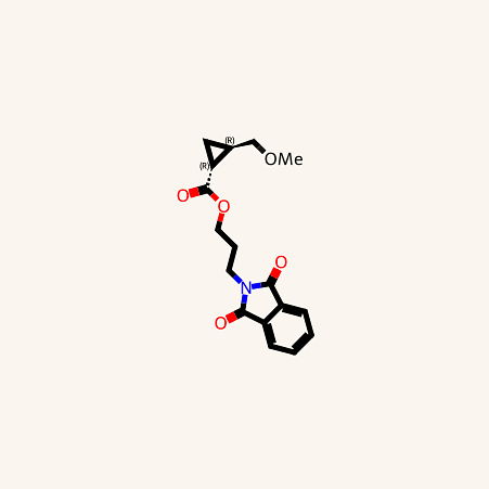 COC[C@@H]1C[C@H]1C(=O)OCCCN1C(=O)c2ccccc2C1=O